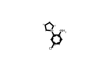 Nc1ccc(Cl)cc1N1CCCC1